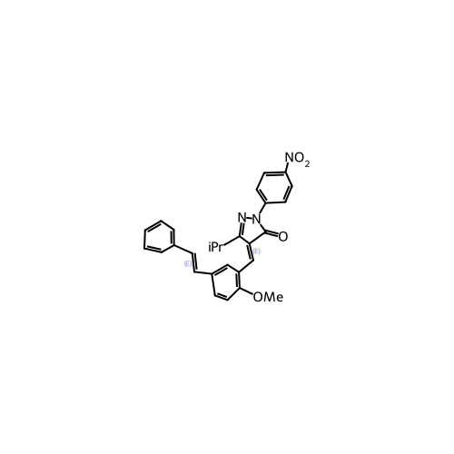 COc1ccc(/C=C/c2ccccc2)cc1/C=C1/C(=O)N(c2ccc([N+](=O)[O-])cc2)N=C1C(C)C